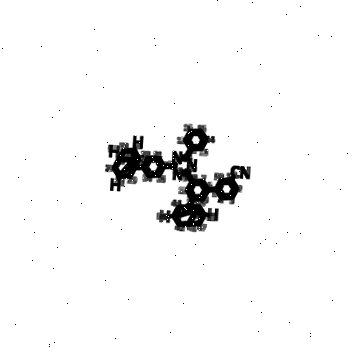 N#Cc1cccc(-c2cc(-c3nc(-c4ccccc4)nc(-c4ccc(C56C[C@H]7C[C@@H](C5)C[C@@H](C6)C7)cc4)n3)cc(C34CC5C[C@H](C3)C[C@@H](C5)C4)c2)c1